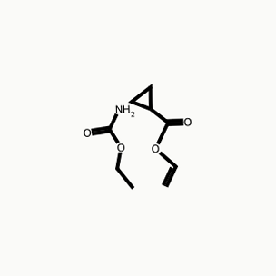 C=COC(=O)C1CC1.CCOC(N)=O